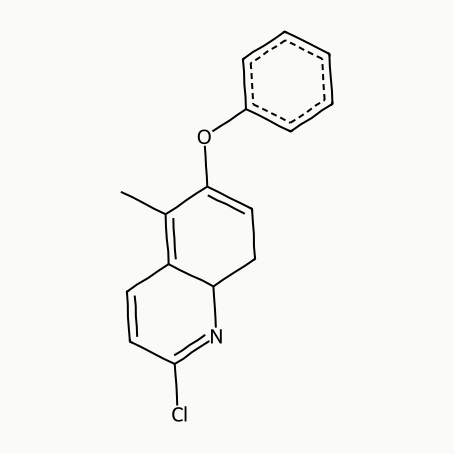 CC1=C2C=CC(Cl)=NC2CC=C1Oc1ccccc1